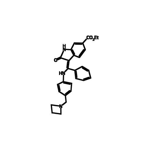 CCOC(=O)c1ccc2c(c1)NC(=O)/C2=C(\Nc1ccc(CN2CCC2)cc1)c1ccccc1